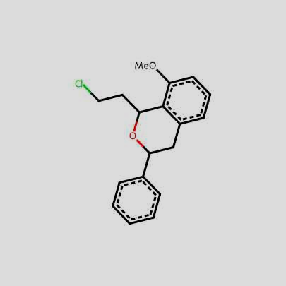 COc1cccc2c1C(CCCl)OC(c1ccccc1)C2